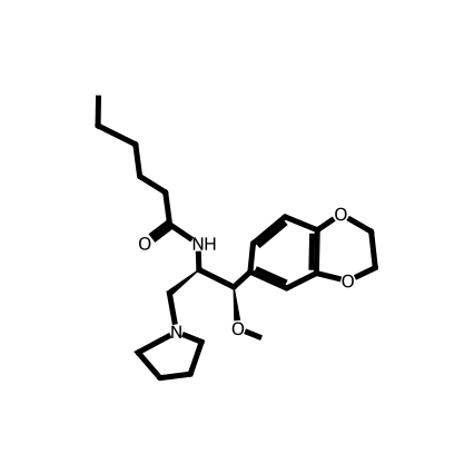 CCCCCC(=O)N[C@H](CN1CCCC1)[C@H](OC)c1ccc2c(c1)OCCO2